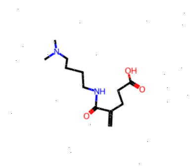 C=C(CCC(=O)O)C(=O)NCCCCN(C)C